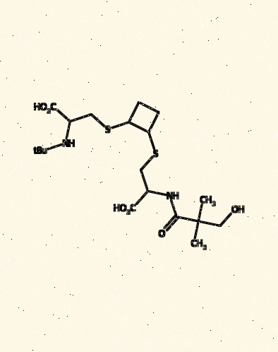 CC(C)(C)NC(CSC1CCC1SCC(NC(=O)C(C)(C)CO)C(=O)O)C(=O)O